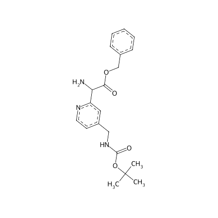 CC(C)(C)OC(=O)NCc1ccnc(C(N)C(=O)OCc2ccccc2)c1